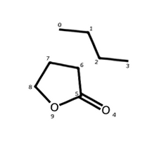 CCCC.O=C1CCCO1